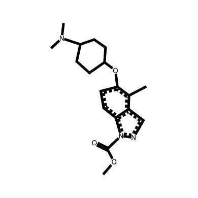 COC(=O)n1ncc2c(C)c(OC3CCC(N(C)C)CC3)ccc21